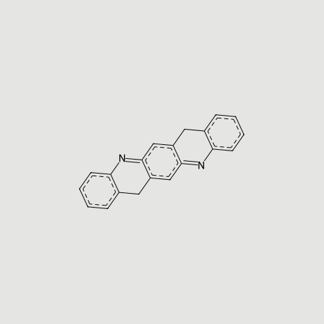 c1ccc2c(c1)Cc1cc3c(cc1=N2)Cc1ccccc1N=3